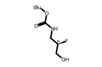 CC(C)(C)OC(=O)NC[C@@H](F)CO